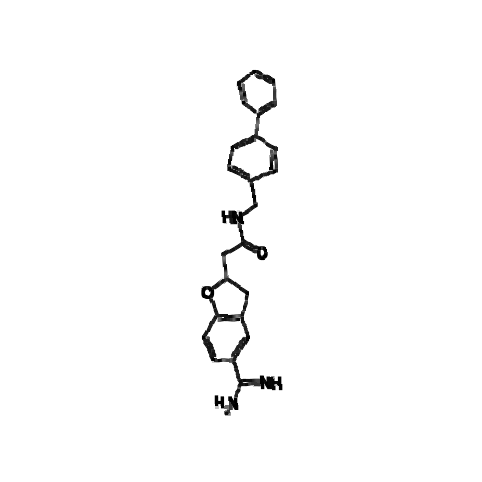 N=C(N)c1ccc2c(c1)CC(CC(=O)NCc1ccc(-c3ccccc3)cc1)O2